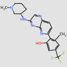 Cc1cc(C(F)(F)F)cc(O)c1-c1ccc2ncc(N[C@@H]3CCCN(C)C3)nc2n1